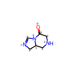 O=C1CNCC2[CH]N=CN12